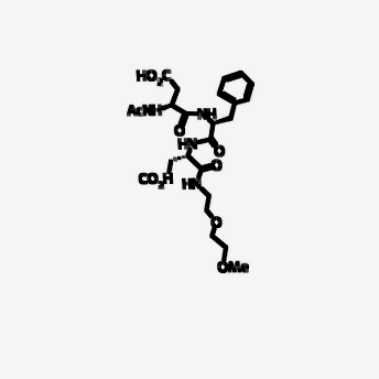 COCCOCCNC(=O)[C@H](CC(=O)O)NC(=O)[C@H](Cc1ccccc1)NC(=O)[C@H](CC(=O)O)NC(C)=O